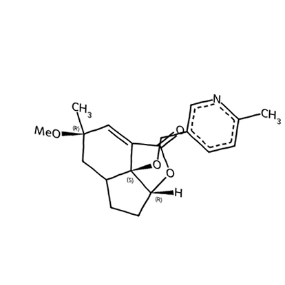 CO[C@@]1(C)C=C2C(=O)O[C@@H]3CCC(C1)[C@]23OCc1ccc(C)nc1